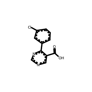 O=C(O)c1cncnc1-c1cccc(Cl)c1